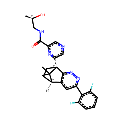 C[C@@H](O)CNC(=O)c1cncc([C@]23CC[C@H](c4cc(-c5c(F)cccc5F)nnc42)C3(C)C)n1